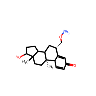 CC12CC[C@]3(C)C4C=CC(=O)C=C4[C@@H](CON)CC3C1CCC2O